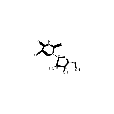 O=c1[nH]c(=S)n([C@@H]2O[C@H](CO)[C@@H](O)[C@H]2O)cc1Cl